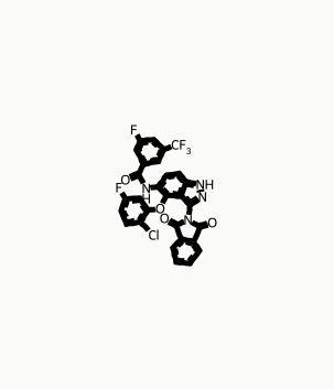 O=C(Nc1ccc2[nH]nc(N3C(=O)c4ccccc4C3=O)c2c1Oc1cc(F)ccc1Cl)c1cc(F)cc(C(F)(F)F)c1